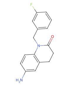 Nc1ccc2c(c1)CCC(=O)N2Cc1cccc(F)c1